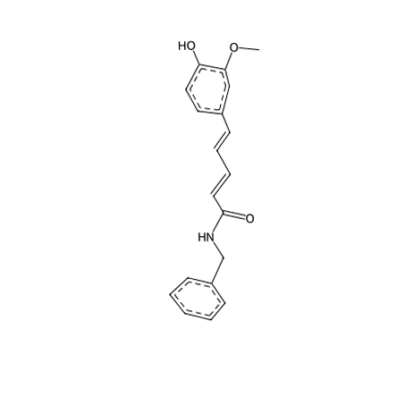 COc1cc(/C=C/C=C/C(=O)NCc2ccccc2)ccc1O